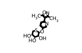 Cc1noc(C)c1-c1ccc(O[C@@H]2SC[C@@H](O)[C@H](O)[C@H]2O)cn1